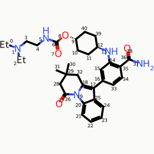 CCN(CC)CCNC(=O)O[C@H]1CC[C@H](Nc2cc(-c3c4n(c5ccccc35)C(=O)CC(C)(C)C4)ccc2C(N)=O)CC1